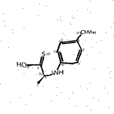 COc1ccc(N[C@@H](C)C(O)=S)cc1